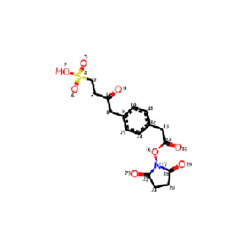 O=C(CCS(=O)(=O)O)Cc1ccc(CC(=O)ON2C(=O)CCC2=O)cc1